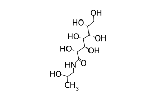 CC(O)CNC(=O)[C@H](O)[C@H](O)[C@H](O)[C@@H](O)[C@H](O)CO